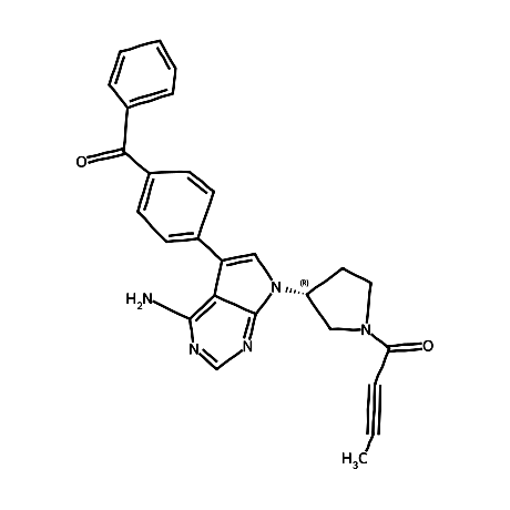 CC#CC(=O)N1CC[C@@H](n2cc(-c3ccc(C(=O)c4ccccc4)cc3)c3c(N)ncnc32)C1